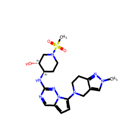 Cn1cc2c(n1)CCN(c1ccc3cnc(N[C@@H]4CCN(S(C)(=O)=O)C[C@H]4O)nn13)C2